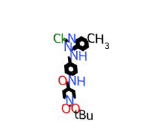 Cc1ccc2c(NCc3ccc(NC(=O)C4CCN(C(=O)OC(C)(C)C)CC4)cc3)nc(Cl)nc2c1